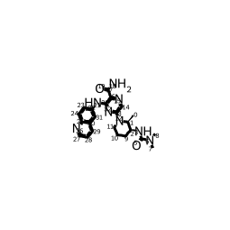 C[C@H]1[C@@H](NC(=O)N(C)C)CCCN1c1cnc(C(N)=O)c(Nc2ccc3ncccc3c2)n1